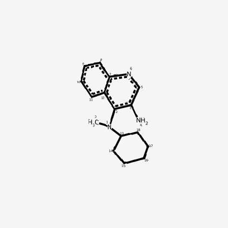 CN(c1c(N)cnc2ccccc12)C1CCCCC1